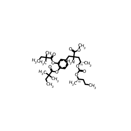 CCC[C@H](C)OC(=O)O[C@@H](C)CC(N)(Cc1ccc(OC(=O)C(C)(C)CC)c(OC(=O)C(C)(C)CC)c1)C(=O)OC